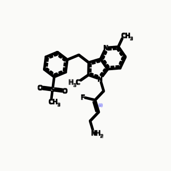 Cc1ccc2c(n1)c(Cc1cccc(S(C)(=O)=O)c1)c(C)n2C/C(F)=C/CN